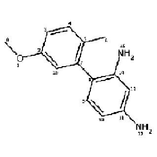 COc1ccc(C)c(-c2ccc(N)cc2N)c1